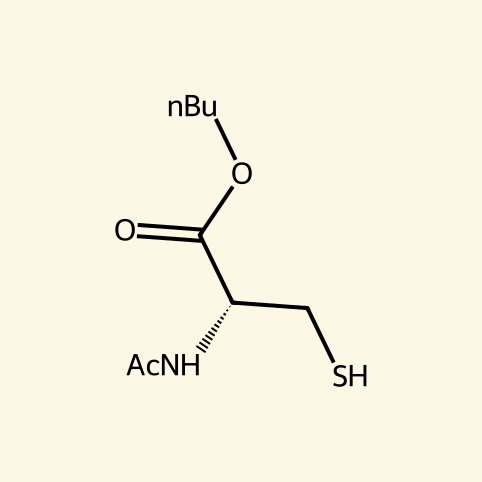 CCCCOC(=O)[C@H](CS)NC(C)=O